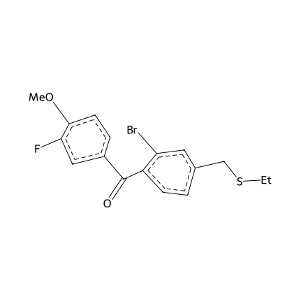 CCSCc1ccc(C(=O)c2ccc(OC)c(F)c2)c(Br)c1